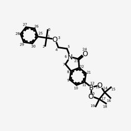 CC(C)(OCCN1Cc2ccc(B3OC(C)(C)C(C)(C)O3)cc2C1=O)c1ccccc1